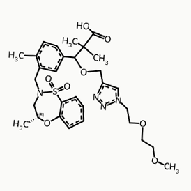 COCCOCCn1cc(COC(c2ccc(C)c(CN3C[C@@H](C)Oc4ccccc4S3(=O)=O)c2)C(C)(C)C(=O)O)nn1